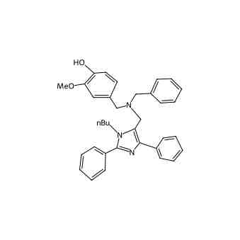 CCCCn1c(-c2ccccc2)nc(-c2ccccc2)c1CN(Cc1ccccc1)Cc1ccc(O)c(OC)c1